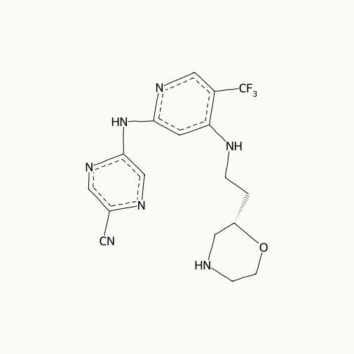 N#Cc1cnc(Nc2cc(NCC[C@H]3CNCCO3)c(C(F)(F)F)cn2)cn1